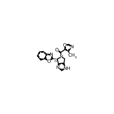 Cc1ncoc1C(=O)N1Cc2[nH]cnc2[C@H]1c1nc2ccccc2o1